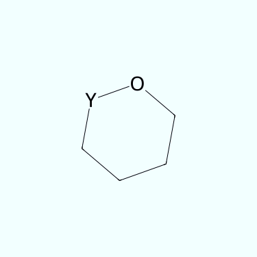 C1C[CH2][Y][O]C1